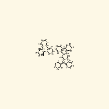 c1ccc(-n2c3ccccc3c3cc(-c4ccccc4-c4ccc(-c5ccc6c(c5)c5ccccc5c5nccnc65)cc4)ccc32)cc1